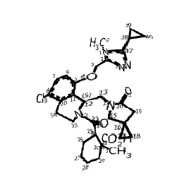 Cn1c(COc2ccc(Cl)c3c2[C@@H](CN2CC4(CC4)CC2=O)N(C(=O)[C@@H]2CCCC[C@]2(C)C(=O)O)CC3)nnc1C1CC1